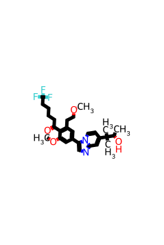 COCCc1cc(-c2cnc3cc(C(C)(C)C(C)O)ccn23)cc(OC)c1C(=O)CCCCC(F)(F)F